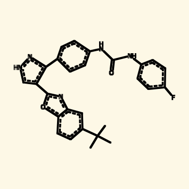 CC(C)(C)c1ccc2oc(-c3c[nH]nc3-c3ccc(NC(=O)Nc4ccc(F)cc4)cc3)nc2c1